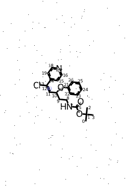 CC(C)(C)OC(=O)NCCC(/C=C(/Cl)c1ccncc1)Oc1ccccc1